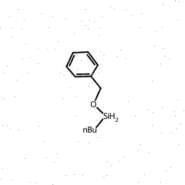 CCCC[SiH2]OCc1ccccc1